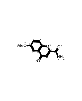 COc1ccc2oc(C(N)=O)cc(=O)c2c1